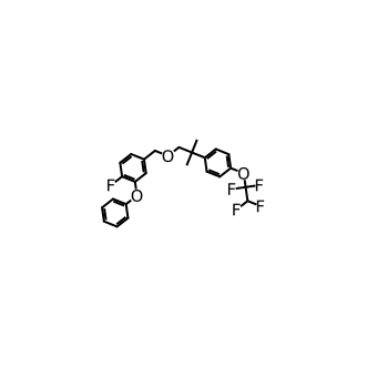 CC(C)(COCc1ccc(F)c(Oc2ccccc2)c1)c1ccc(OC(F)(F)C(F)F)cc1